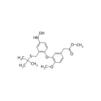 COC(=O)Cc1ccc(OC)c(Oc2ccc(NO)cc2CSC(C)(C)C)c1